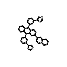 c1cc(-c2cocn2)cc(-c2c3ccccc3c(-c3cccc(-c4cocn4)c3)c3cc(-c4ccc5ccccc5c4)ccc23)c1